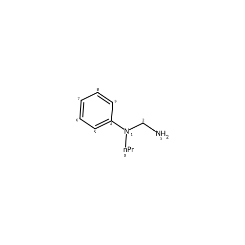 [CH2]CCN(CN)c1ccccc1